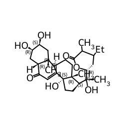 CCC1C[C@H]([C@](C)(O)[C@H]2CC[C@@]3(O)C4=CC(=O)[C@@H]5C[C@@H](O)[C@@H](O)C[C@]5(C)[C@H]4CC[C@]23C)OC(=O)C1C